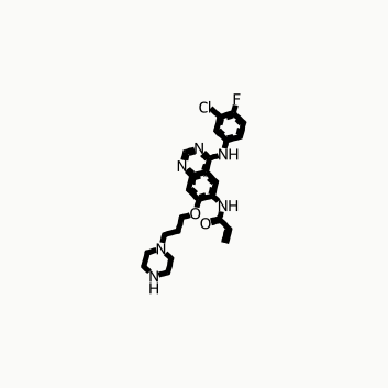 C=CC(=O)Nc1cc2c(Nc3ccc(F)c(Cl)c3)ncnc2cc1OCCCN1CCNCC1